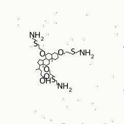 CC(CCC(=O)O)C1CCC2C3C(C[C@H](OCCCSCCN)[C@]12C)[C@@]1(C)CC[C@@H](OCCCSCCN)CC1C[C@H]3OCCCSCCN